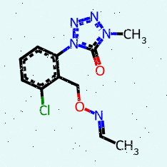 CC=NOCc1c(Cl)cccc1-n1nnn(C)c1=O